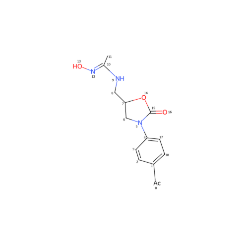 CC(=O)c1ccc(N2CC(CNC(C)=NO)OC2=O)cc1